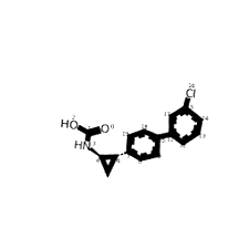 O=C(O)N[C@@H]1C[C@H]1c1ccc(-c2cccc(Cl)c2)cc1